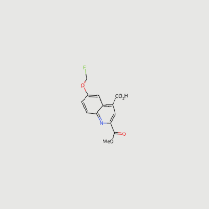 COC(=O)c1cc(C(=O)O)c2cc(OCF)ccc2n1